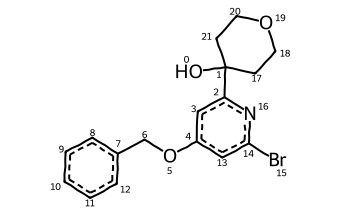 OC1(c2cc(OCc3ccccc3)cc(Br)n2)CCOCC1